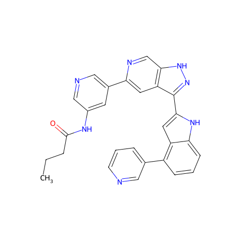 CCCC(=O)Nc1cncc(-c2cc3c(-c4cc5c(-c6cccnc6)cccc5[nH]4)n[nH]c3cn2)c1